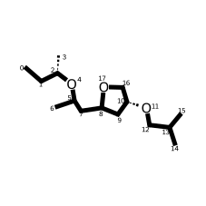 CC[C@H](C)OC(C)CC1C[C@@H](OCC(C)C)CO1